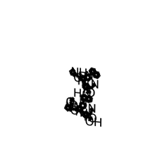 CC(C)(C)OC(=O)N1CCCC1(C)COc1nc2c(c(N3CCN(C(=O)O)C(CC#N)C3)n1)CCN(c1cccc3ccccc13)C2.CC1(COc2nc3c(c(N4CCN(C(=O)O)C(CC#N)C4)n2)CCN(c2cccc4ccccc24)C3)CCCN1